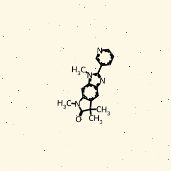 CN1C(=O)C(C)(C)c2cc3nc(-c4cccnc4)n(C)c3cc21